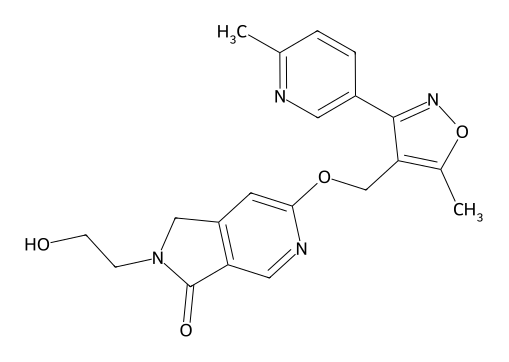 Cc1ccc(-c2noc(C)c2COc2cc3c(cn2)C(=O)N(CCO)C3)cn1